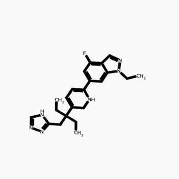 CCn1ncc2c(F)cc(C3=CC=C(C(CC)(CC)Cc4nnc[nH]4)CN3)cc21